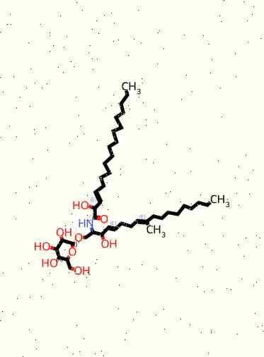 CCCCCCCCCCCCCC/C=C/C(O)C(=O)NC(CO[C@@H]1OC(CO)[C@H](O)C(O)C1O)C(O)/C=C/CC/C=C(\C)CCCCCCCCC